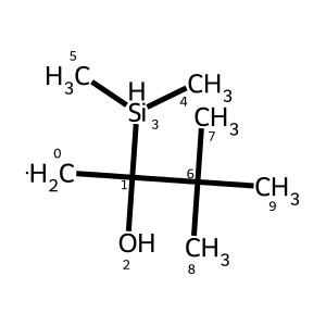 [CH2]C(O)([SiH](C)C)C(C)(C)C